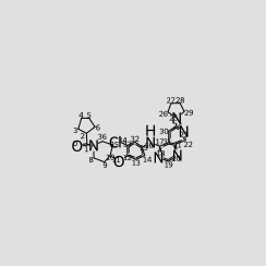 O=C(C1CCCC1)N1CCC(Oc2ccc(Nc3ncnc4cnc(N5CCCC5)cc34)cc2Cl)CC1